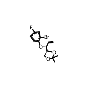 C=C[C@@H](Oc1ccc(F)cc1Br)[C@@H]1COC(C)(C)O1